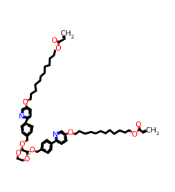 C=CC(=O)OCCCCCCCCCCCCOc1ccc(-c2ccc(CO[C@@H]3OCCO[C@H]3OCc3ccc(-c4ccc(OCCCCCCCCCCCCOC(=O)C=C)cn4)cc3)cc2)nc1